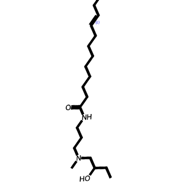 CC/C=C/CCCCCCCC(=O)NCCCN(C)CC(O)CC